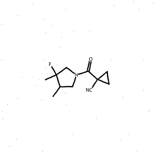 CC1CN(C(=O)C2(C#N)CC2)CC1(C)F